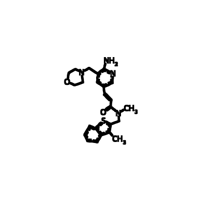 Cc1c(CN(C)C(=O)C=Cc2cnc(N)c(CN3CCOCC3)c2)sc2ccccc12